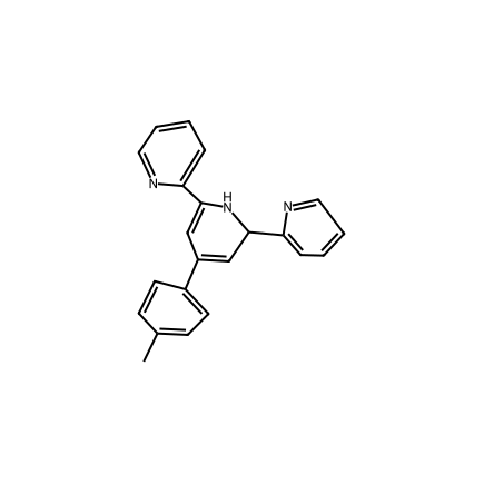 Cc1ccc(C2=CC(c3ccccn3)NC(c3ccccn3)=C2)cc1